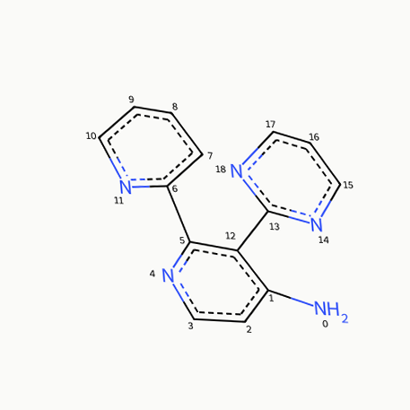 Nc1ccnc(-c2ccccn2)c1-c1ncccn1